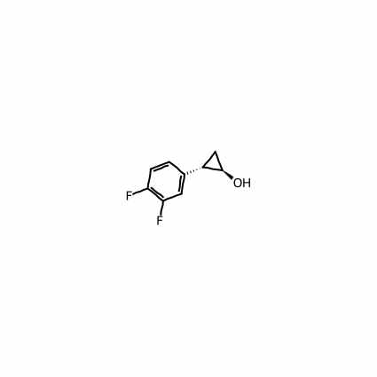 O[C@@H]1C[C@H]1c1ccc(F)c(F)c1